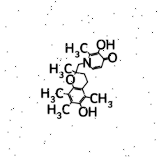 Cc1c(C)c2c(c(C)c1O)CCC(C)(Cn1ccc(=O)c(O)c1C)O2